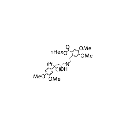 CCCCCCOC(=O)c1cc(OC)c(OC)cc1CCN(C)CC(O)CC(C#N)(c1ccc(OC)c(OC)c1)C(C)C